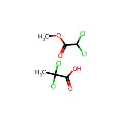 CC(Cl)(Cl)C(=O)O.COC(=O)C(Cl)Cl